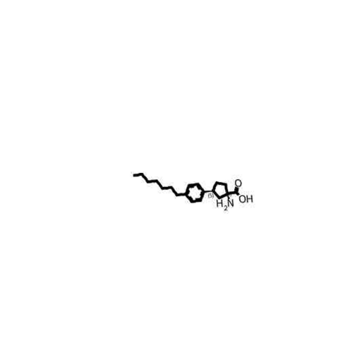 CCCCCCCc1ccc([C@H]2CC[C@](N)(C(=O)O)C2)cc1